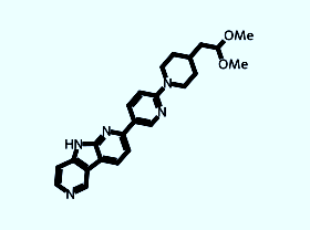 COC(CC1CCN(c2ccc(-c3ccc4c(n3)[nH]c3ccncc34)cn2)CC1)OC